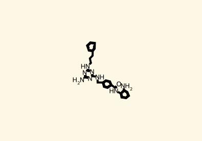 Nc1nc(NCCCc2ccccc2)nc(NCc2ccc(C(=O)Nc3ccccc3N)cc2)n1